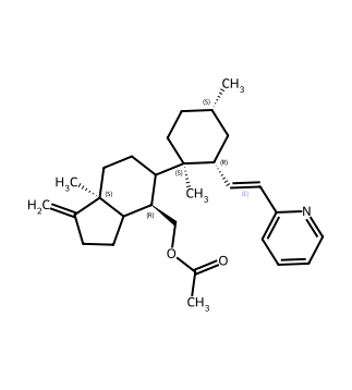 C=C1CCC2[C@H](COC(C)=O)C([C@@]3(C)CC[C@H](C)C[C@@H]3/C=C/c3ccccn3)CC[C@]12C